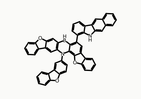 B1c2cc3oc4ccccc4c3cc2N(c2ccc3oc4ccccc4c3c2)c2c1c(-c1cccc3c1[nH]c1cc4ccccc4cc13)cc1c2oc2ccccc21